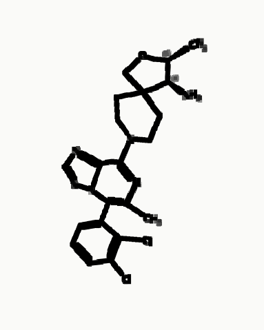 Cc1nc(N2CCC3(CC2)CO[C@@H](C)[C@H]3N)c2ncnn2c1-c1cccc(Cl)c1Cl